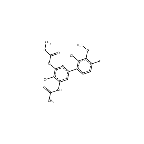 COC(=O)Oc1nc(-c2ccc(F)c(OC)c2Cl)cc(NC(C)=O)c1Cl